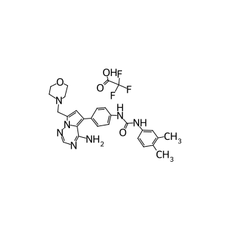 Cc1ccc(NC(=O)Nc2ccc(-c3cc(CN4CCOCC4)n4ncnc(N)c34)cc2)cc1C.O=C(O)C(F)(F)F